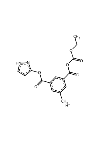 CCOC(=O)OC(=O)c1cc(C)cc(C(=O)Oc2cc[nH]n2)c1.[H+]